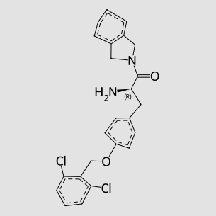 N[C@H](Cc1ccc(OCc2c(Cl)cccc2Cl)cc1)C(=O)N1Cc2ccccc2C1